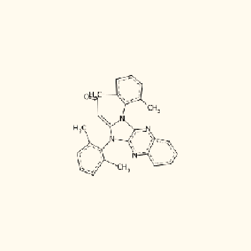 Cc1cccc(C)c1N1C(=CC=O)N(c2c(C)cccc2C)c2nc3ccccc3nc21